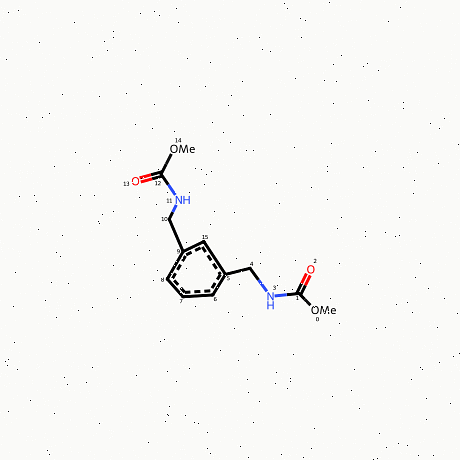 COC(=O)NCc1cccc(CNC(=O)OC)c1